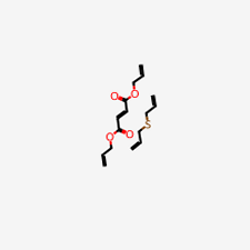 C=CCOC(=O)C=CC(=O)OCC=C.C=CCSCC=C